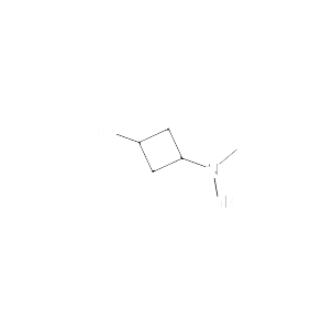 CCCCN(C)C1CC(O)C1